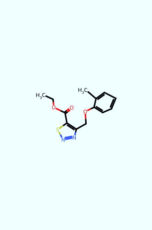 CCOC(=O)c1snnc1COc1ccccc1C